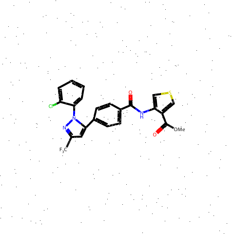 COC(=O)c1cscc1NC(=O)c1ccc(-c2cc(C(F)(F)F)nn2-c2ccccc2Cl)cc1